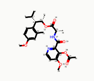 COc1ccc([C@H](C(C)C)[C@H](C)OC(=O)[C@H](C)NC(=O)c2nccc(OC)c2OC(C)=O)c(C)c1